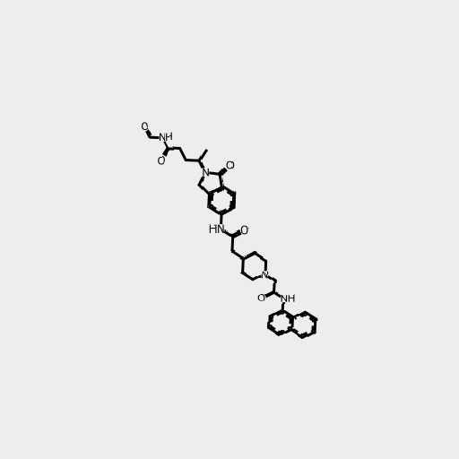 CC(CCC(=O)NC=O)N1Cc2cc(NC(=O)CC3CCN(CC(=O)Nc4cccc5ccccc45)CC3)ccc2C1=O